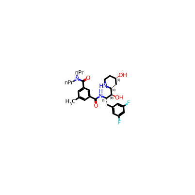 CCCN(CCC)C(=O)c1cc(C)cc(C(=O)N[C@@H](Cc2cc(F)cc(F)c2)[C@H](O)[C@H]2C[C@@H](O)CCN2)c1